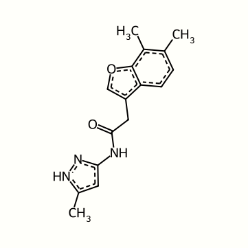 Cc1cc(NC(=O)Cc2coc3c(C)c(C)ccc23)n[nH]1